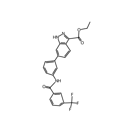 CCOC(=O)c1n[nH]c2cc(-c3cccc(NC(=O)c4cccc(C(F)(F)F)c4)c3)ccc12